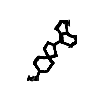 CC(=O)NC1CCC2(CC1)CCN(c1ncnc3[nH]ccc13)C2